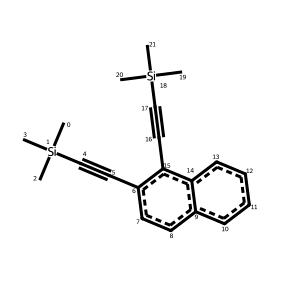 C[Si](C)(C)C#Cc1ccc2ccccc2c1C#C[Si](C)(C)C